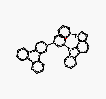 c1ccc(-n2ccc3ccc4c5ccccc5n(-c5cccc(-c6ccc7c8ccccc8c8ccccc8c7c6)c5)c4c32)cc1